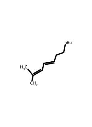 [CH2]C(C)=CC=CCCCCCC